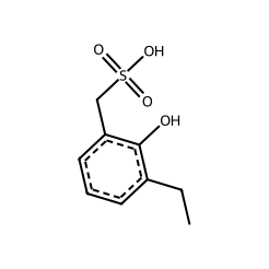 CCc1cccc(CS(=O)(=O)O)c1O